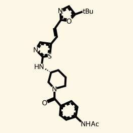 CC(=O)Nc1ccc(C(=O)N2CCC[C@@H](Nc3ncc(/C=C/c4ncc(C(C)(C)C)o4)s3)C2)cc1